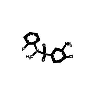 CN(c1ccccc1F)S(=O)(=O)c1ccc(Cl)c(N)c1